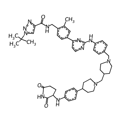 Cc1cc(-c2ccnc(Nc3ccc(CN4CCC(CN5CCC(c6ccc(NC7CCC(=O)NC7=O)cc6)CC5)CC4)cc3)n2)ccc1CNC(=O)c1cn(C(C)(C)C)nn1